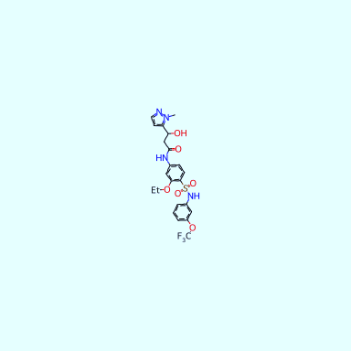 CCOc1cc(NC(=O)CC(O)c2ccnn2C)ccc1S(=O)(=O)Nc1cccc(OC(F)(F)F)c1